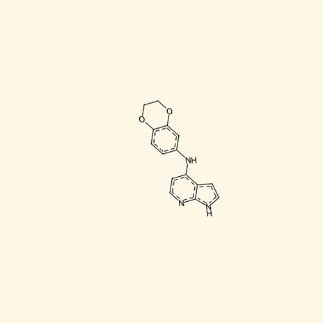 c1cc(Nc2ccc3c(c2)OCCO3)c2cc[nH]c2n1